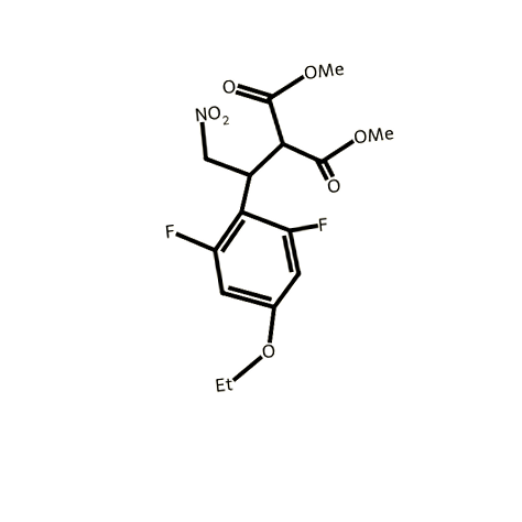 CCOc1cc(F)c(C(C[N+](=O)[O-])C(C(=O)OC)C(=O)OC)c(F)c1